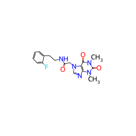 Cn1c(=O)c2c(ncn2CC(=O)NCCc2ccccc2F)n(C)c1=O